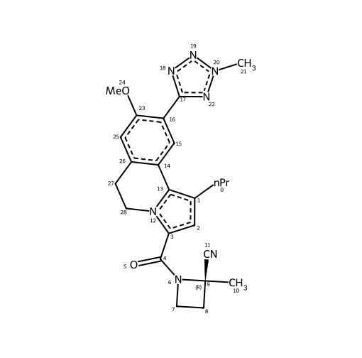 CCCc1cc(C(=O)N2CC[C@]2(C)C#N)n2c1-c1cc(-c3nnn(C)n3)c(OC)cc1CC2